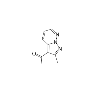 CC(=O)c1c(C)nn2ncccc12